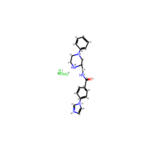 Cl.Cl.Cl.O=C(NCC1CN(c2ccccc2)CCN1)c1ccc(-n2ccnc2)cc1